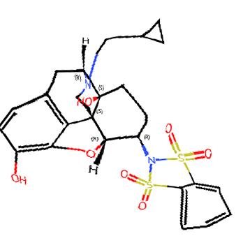 O=S1(=O)c2ccccc2S(=O)(=O)N1[C@@H]1CC[C@@]2(O)[C@H]3Cc4ccc(O)c5c4[C@@]2(CCN3CC2CC2)[C@H]1O5